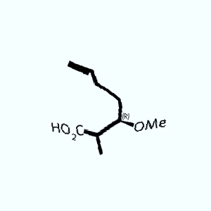 C=CCC[C@@H](OC)C(C)C(=O)O